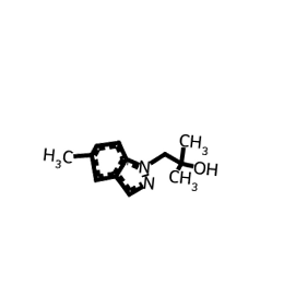 Cc1ccc2c(cnn2CC(C)(C)O)c1